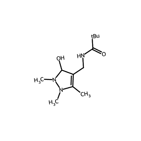 CC1=C(CNC(=O)C(C)(C)C)C(O)N(C)N1C